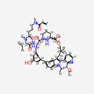 C=CC(=O)N(C)CCCC(=O)N(C)[C@H](C(=O)N[C@H]1Cc2cc(O)cc(c2)-c2ccc3c(c2)c(c(-c2cccnc2COC)n3CC)CC(C)(C)COC(=O)[C@@H]2CCCN(N2)C1=O)C(C)C